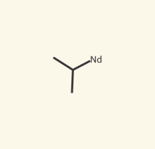 C[CH](C)[Nd]